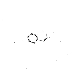 CS/C=C\c1ccccc1